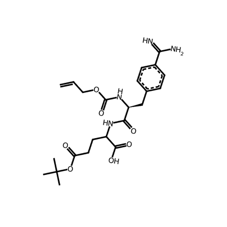 C=CCOC(=O)N[C@@H](Cc1ccc(C(=N)N)cc1)C(=O)NC(CCC(=O)OC(C)(C)C)C(=O)O